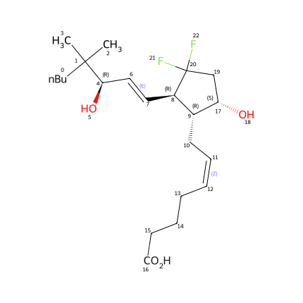 CCCCC(C)(C)[C@H](O)/C=C/[C@@H]1[C@@H](C/C=C\CCCC(=O)O)[C@@H](O)CC1(F)F